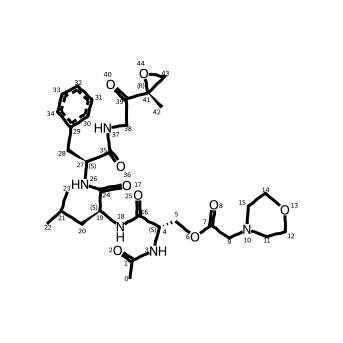 CC(=O)N[C@@H](COC(=O)CN1CCOCC1)C(=O)N[C@@H](CC(C)C)C(=O)N[C@@H](Cc1ccccc1)C(=O)NCC(=O)[C@@]1(C)CO1